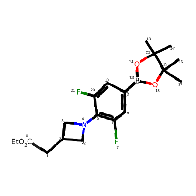 CCOC(=O)CC1CN(c2c(F)cc(B3OC(C)(C)C(C)(C)O3)cc2F)C1